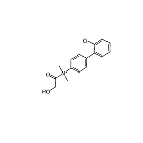 C[N+](C)(C(=O)CO)c1ccc(-c2ccccc2Cl)cc1